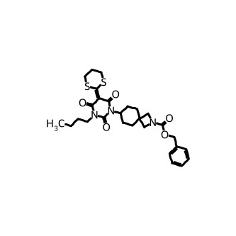 CCCCN1C(=O)C(=C2SCCCS2)C(=O)N(C2CCC3(CC2)CN(C(=O)OCc2ccccc2)C3)C1=O